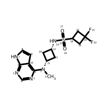 CN(c1ncnc2[nH]ccc12)[C@H]1C[C@@H](NS(=O)(=O)C2CC(F)(F)C2)C1